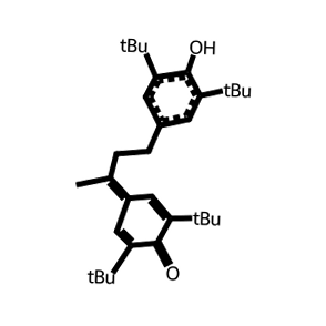 CC(CCc1cc(C(C)(C)C)c(O)c(C(C)(C)C)c1)=C1C=C(C(C)(C)C)C(=O)C(C(C)(C)C)=C1